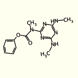 CNc1nc(NC)nc(N(C)C(=O)Oc2ccccc2)n1